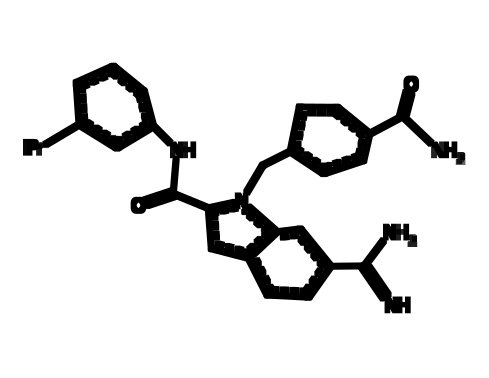 CC(C)c1cccc(NC(=O)c2cc3ccc(C(=N)N)cc3n2Cc2ccc(C(N)=O)cc2)c1